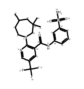 CC1CCN(c2ncc(C(F)(F)F)cc2C(=O)Nc2cccc(S(N)(=O)=O)c2)CC(C)(C)C1